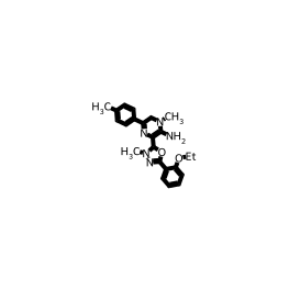 CCOc1ccccc1C1=NN(C)C(C2=C(N)N(C)CC(c3ccc(C)cc3)=N2)O1